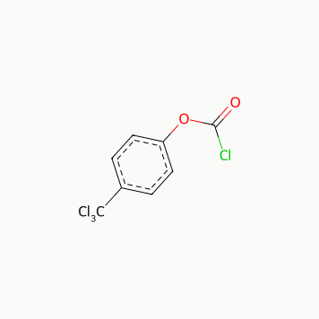 O=C(Cl)Oc1ccc(C(Cl)(Cl)Cl)cc1